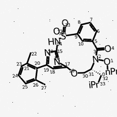 CCCON1C(=O)c2cccc(c2)S(=O)(=O)Nc2nc(cc(-c3c(C)cccc3C)n2)OC[C@H]1CC(C)C